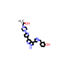 C[C@H](O)CN1CCN(c2ccc(-c3cnc4[nH]cc(-c5cnn(Cc6cccc(O)c6)c5)c4c3)cn2)CC1